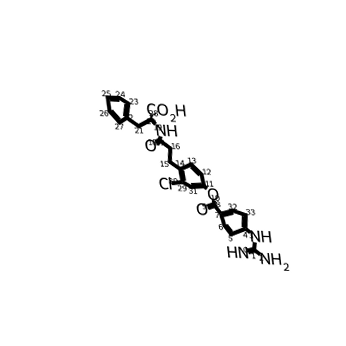 N=C(N)Nc1ccc(C(=O)Oc2ccc(CCC(=O)N[C@@H](Cc3ccccc3)C(=O)O)c(Cl)c2)cc1